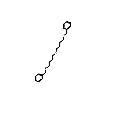 c1ccc(CSCCCCSCCCCSCc2ccccc2)cc1